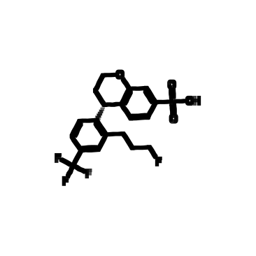 O=S(=O)(O)c1ccc2c(c1)OCC[C@H]2c1ccc(C(F)(F)F)cc1CCCF